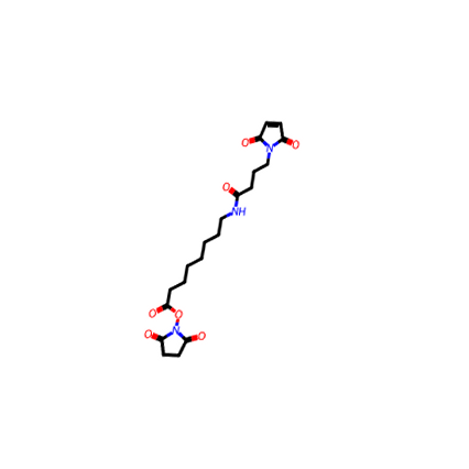 O=C(CCCN1C(=O)C=CC1=O)NCCCCCCCC(=O)ON1C(=O)CCC1=O